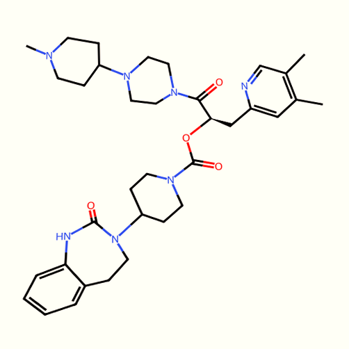 Cc1cnc(C[C@@H](OC(=O)N2CCC(N3CCc4ccccc4NC3=O)CC2)C(=O)N2CCN(C3CCN(C)CC3)CC2)cc1C